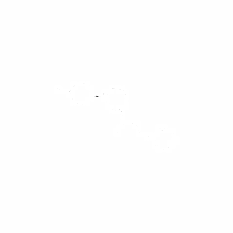 O=C(OCc1ccccc1)N1CCC[C@H](N2CCC(F)CC2)C1